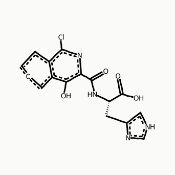 O=C(N[C@@H](Cc1c[nH]cn1)C(=O)O)c1nc(Cl)c2ccccc2c1O